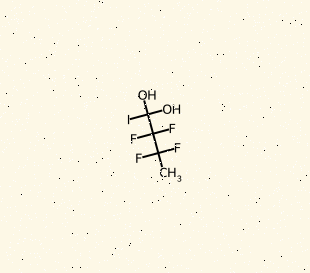 CC(F)(F)C(F)(F)C(O)(O)I